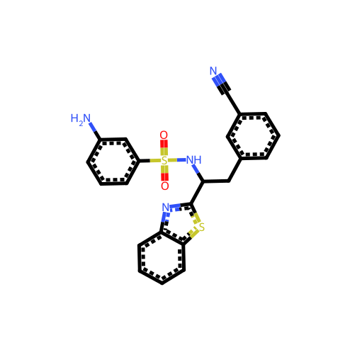 N#Cc1cccc(CC(NS(=O)(=O)c2cccc(N)c2)c2nc3ccccc3s2)c1